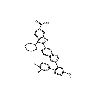 COc1ccc(-c2ccc(F)c(F)c2)c(-c2ccc3cc(-c4nc5cc(C(=O)O)ccc5n4C4CCCCC4)ccc3n2)c1